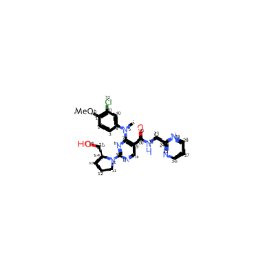 COc1ccc(N(C)c2nc(N3CCC[C@H]3CO)ncc2C(=O)NCc2ncccn2)cc1Cl